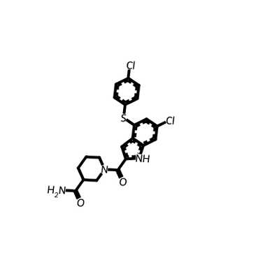 NC(=O)C1CCCN(C(=O)c2cc3c(Sc4ccc(Cl)cc4)cc(Cl)cc3[nH]2)C1